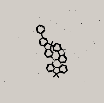 CC1(C)c2cc(-c3ccccc3)ccc2-c2ccc(N(c3cccc4c3-c3ccccc3C4(C)C)c3cccc4oc5ccccc5c34)cc21